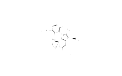 COc1ccc(C)c(-n2c(N)c(C#N)c3cc(C)n4ncnc4c32)c1Cl